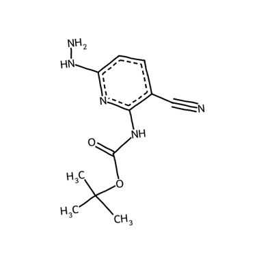 CC(C)(C)OC(=O)Nc1nc(NN)ccc1C#N